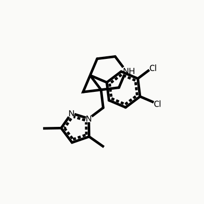 Cc1cc(C)n(CC23CNCCC2(c2ccc(Cl)c(Cl)c2)C3)n1